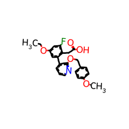 CCOc1cc(F)c(CC(=O)O)c(-c2cccnc2OCc2ccc(OC)cc2)c1